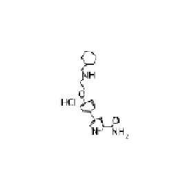 Cl.NC(=O)c1cncc(-c2ccc(OCCNCC3CCCCC3)cc2)c1